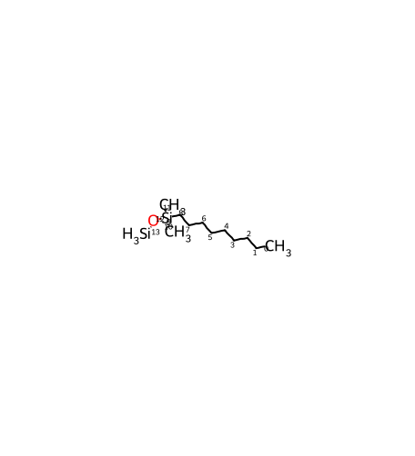 CCCCCCCCC[Si](C)(C)O[SiH3]